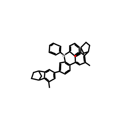 Cc1cc(-c2ccc(-c3cc(C)c4c(c3)C3CCC4C3)c(N(c3ccccc3)c3ccccc3)c2)cc2c1C1CCC2C1